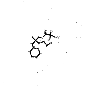 CC(CCCO)(COC(=O)C(F)(F)S(=O)(=O)O)CC1CCCCC1